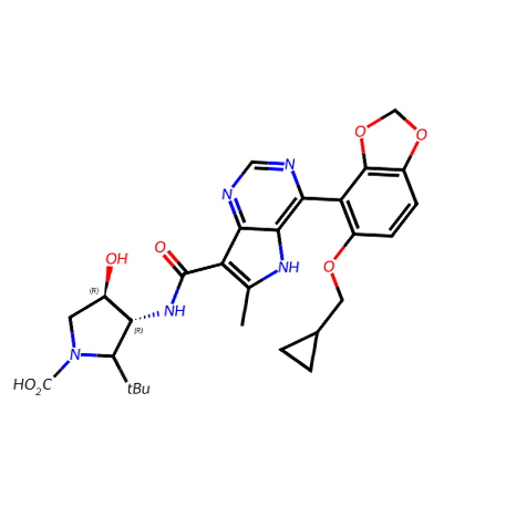 Cc1[nH]c2c(-c3c(OCC4CC4)ccc4c3OCO4)ncnc2c1C(=O)N[C@@H]1C(C(C)(C)C)N(C(=O)O)C[C@H]1O